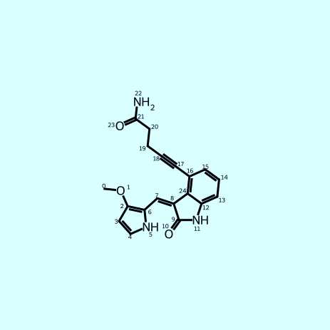 COc1cc[nH]c1/C=C1\C(=O)Nc2cccc(C#CCCC(N)=O)c21